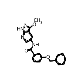 COc1n[nH]c2ncc(NC(=O)c3cccc(OCc4ccccc4)c3)cc12